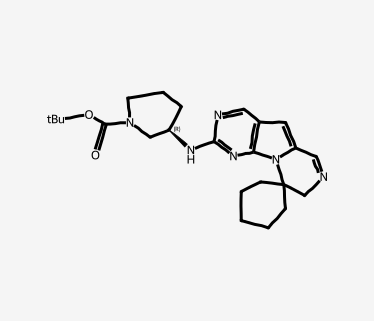 CC(C)(C)OC(=O)N1CCC[C@@H](Nc2ncc3cc4n(c3n2)C2(CCCCC2)CN=C4)C1